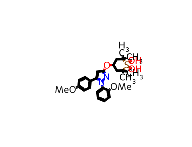 COc1ccc(-c2cc(OC3CC(C)(C)S(O)(O)C(C)(C)C3)nn2-c2ccccc2OC)cc1